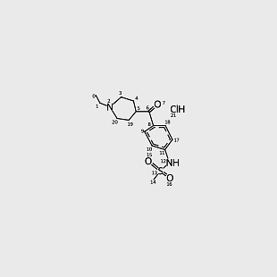 CCN1CCC(C(=O)c2ccc(NS(C)(=O)=O)cc2)CC1.Cl